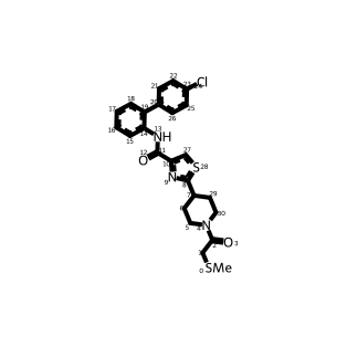 CSCC(=O)N1CCC(c2nc(C(=O)Nc3ccccc3-c3ccc(Cl)cc3)cs2)CC1